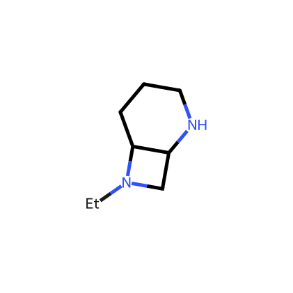 CCN1CC2NCCCC21